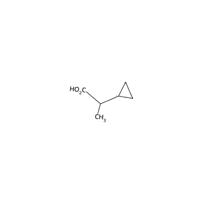 CC([C]1CC1)C(=O)O